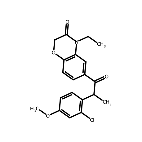 CCN1C(=O)COc2ccc(C(=O)C(C)c3ccc(OC)cc3Cl)cc21